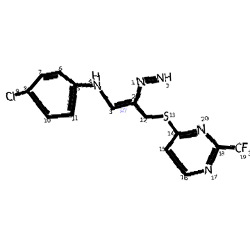 N=N/C(=C\Nc1ccc(Cl)cc1)CSc1ccnc(C(F)(F)F)n1